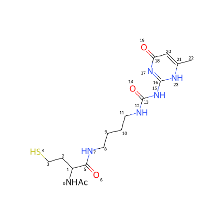 CC(=O)NC(CCS)C(=O)NCCCCNC(=O)Nc1nc(=O)cc(C)[nH]1